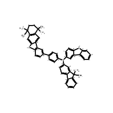 CC1(C)CCC(C)(C)c2cc3c(cc21)sc1ccc(-c2ccc(N(c4ccc5c(c4)C(C)(C)c4ccccc4-5)c4ccc5sc6ccccc6c5c4)cc2)cc13